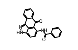 O=C(Nc1ccc2[nH]nc3c2c1C(=O)c1ccccc1-3)c1ccccc1